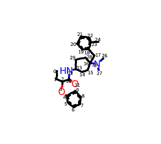 CCC(Oc1ccccc1)C(=O)NC1CCC(Cc2ccccc2C)(N(C)C)CC1